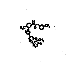 Cc1ccc(NC(=O)Cc2cccc(C(F)(F)F)c2)cc1-n1cc(-c2cncc(OC(C)(C)C(N)=O)c2)cn1